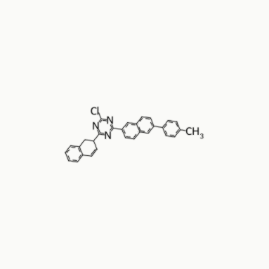 Cc1ccc(-c2ccc3cc(-c4nc(Cl)nc(C5C=Cc6ccccc6C5)n4)ccc3c2)cc1